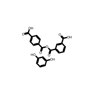 O=C(O)c1ccc(C(=O)OC(=O)c2cccc(C(=O)O)c2)cc1.Oc1cccc(O)c1